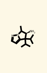 CC1[C@@H](N)C(C(C)C)(C(C)C)c2ccnn21